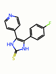 Fc1ccc(-c2[nH]c(=S)[nH]c2-c2ccncc2)cc1